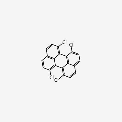 Clc1ccc2ccc(Cl)c3c4c(Cl)ccc5ccc(Cl)c(c1c23)c54